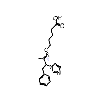 C/C(=N\OCCCCC(=O)O)C(Cc1ccccc1)n1ccnc1